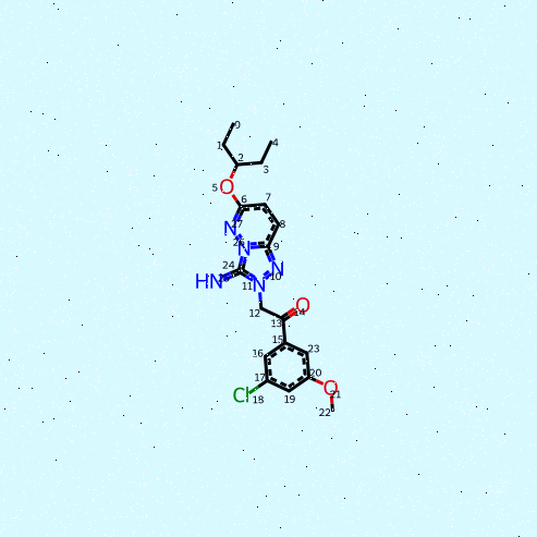 CCC(CC)Oc1ccc2nn(CC(=O)c3cc(Cl)cc(OC)c3)c(=N)n2n1